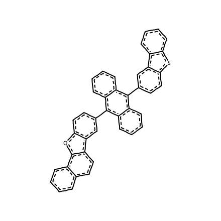 c1ccc2c(c1)ccc1c3cc(-c4c5ccccc5c(-c5ccc6sc7ccccc7c6c5)c5ccccc45)ccc3oc21